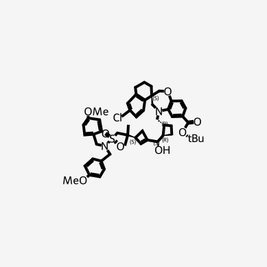 COc1ccc(CN(Cc2ccc(OC)cc2)S(=O)(=O)CC(C)(C)[C@@H]2C=C([C@@H](O)[C@@H]3CC[C@H]3CN3C[C@@]4(CCCc5cc(Cl)ccc54)COc4ccc(C(=O)OC(C)(C)C)cc43)C2)cc1